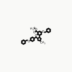 C=C1CC2c3cc(OCc4ccccc4)cc(C(=O)OC)c3OC(c3ccc(OCc4ccccc4)cc3)C2C1